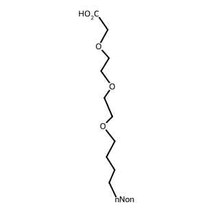 CCCCCCCCCCCCCOCCOCCOCC(=O)O